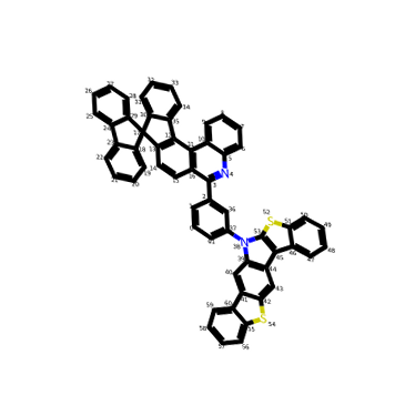 c1cc(-c2nc3ccccc3c3c4c(ccc23)C2(c3ccccc3-c3ccccc32)c2ccccc2-4)cc(-n2c3cc4c(cc3c3c5ccccc5sc32)sc2ccccc24)c1